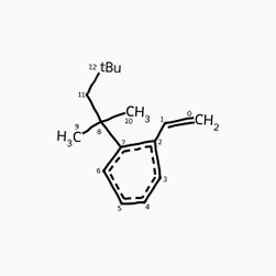 C=Cc1ccccc1C(C)(C)CC(C)(C)C